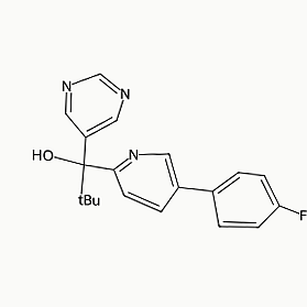 CC(C)(C)C(O)(c1cncnc1)c1ccc(-c2ccc(F)cc2)cn1